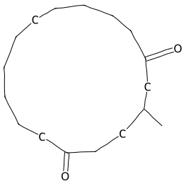 CC1CCC(=O)CCCCCCCCCCC(=O)C1